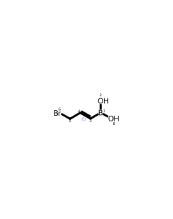 OB(O)/C=C/CBr